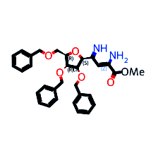 COC(=O)/C(N)=C/C(=N)[C@@H]1O[C@H](COCc2ccccc2)[C@@H](OCc2ccccc2)[C@H]1OCc1ccccc1